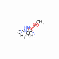 C=CC(=O)OCCOC(=O)/C(C#N)=C1/CC(C)(C)CC(NCCN2CCCCC2)=C1C#N